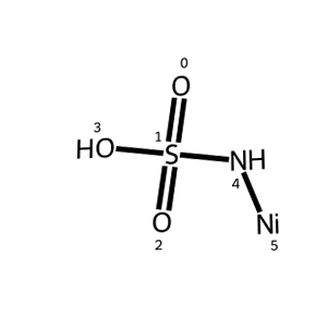 O=S(=O)(O)[NH][Ni]